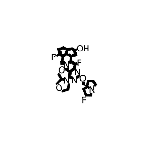 C#Cc1c(F)ccc2cc(O)cc(-c3nc4c5c(nc(OC[C@@]67CCCN6C[C@H](F)C7)nc5c3F)N3CCCOCC3CO4)c12